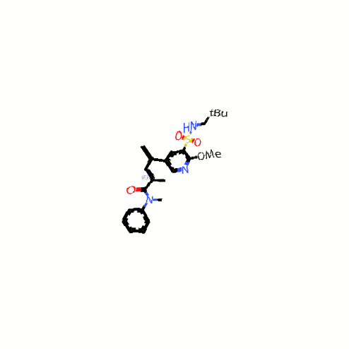 C=C(/C=C(\C)C(=O)N(C)c1ccccc1)c1cnc(OC)c(S(=O)(=O)NCC(C)(C)C)c1